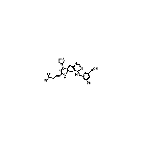 C#Cc1cc(C#N)cc(Nc2ncnc3cc(O[C@H]4CCOC4)c(NC(=O)C=CCN(CC)CC)cc23)c1